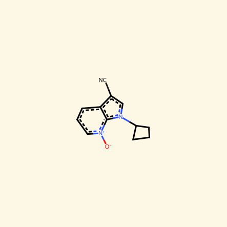 N#Cc1cn(C2CCC2)c2c1ccc[n+]2[O-]